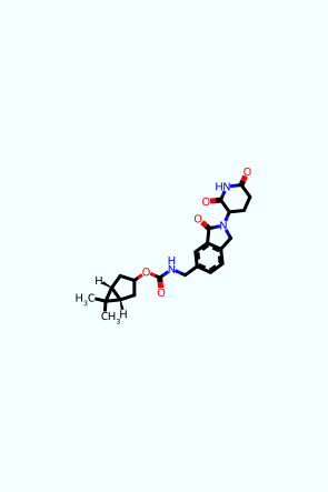 CC1(C)[C@@H]2CC(OC(=O)NCc3ccc4c(c3)C(=O)N(C3CCC(=O)NC3=O)C4)C[C@@H]21